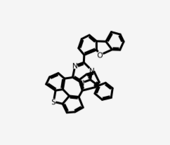 c1ccc(-c2nc(-c3cccc4c3oc3ccccc34)nc(-c3cccc4sc5cccc(-c6ccccc6)c5c34)n2)cc1